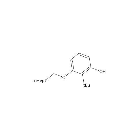 CCCCCCCCOc1cccc(O)c1C(C)(C)C